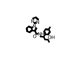 Cc1ccc(C(CNC(=O)c2cn(-c3ncccn3)c3ccccc23)CC(C)O)cc1